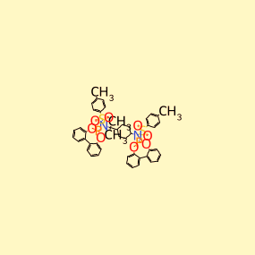 Cc1ccc(S(=O)(=O)N(C2CCC(C(C)(C)N(p3oc4ccccc4c4ccccc4o3)S(=O)(=O)c3ccc(C)cc3)CC2)p2oc3ccccc3c3ccccc3o2)cc1